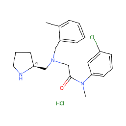 Cc1ccccc1CN(CC(=O)N(C)c1cccc(Cl)c1)C[C@@H]1CCCN1.Cl